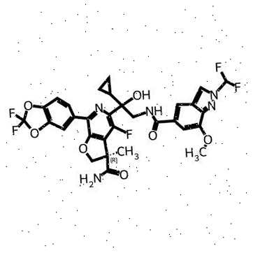 COc1cc(C(=O)NCC(O)(c2nc(-c3ccc4c(c3)OC(F)(F)O4)c3c(c2F)[C@@](C)(C(N)=O)CO3)C2CC2)cc2cn(C(F)F)nc12